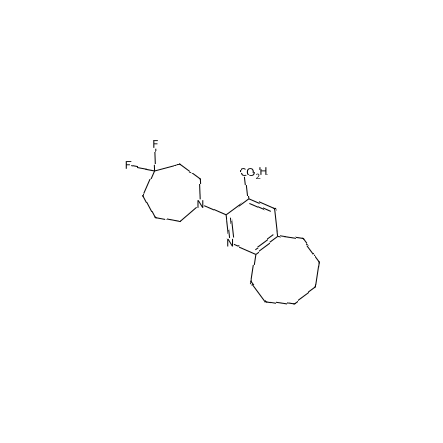 O=C(O)c1cc2c(nc1N1CCCC(F)(F)CC1)CCCCCC2